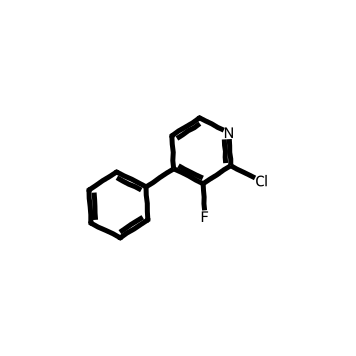 Fc1c(-c2ccccc2)ccnc1Cl